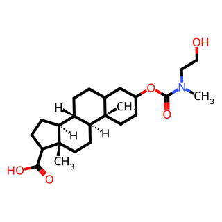 CN(CCO)C(=O)OC1CC[C@@]2(C)C(CC[C@@H]3[C@@H]2CC[C@]2(C)C(C(=O)O)CC[C@@H]32)C1